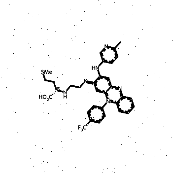 CSCC[C@H](NCCN=c1cc2n(-c3ccc(C(F)(F)F)cc3)c3ccccc3nc-2cc1Nc1ccc(C)nc1)C(=O)O